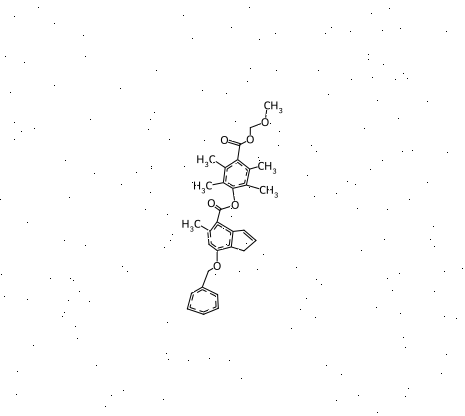 COCOC(=O)c1c(C)c(C)c(OC(=O)c2c(C)cc(OCc3ccccc3)c3c2C=CC3)c(C)c1C